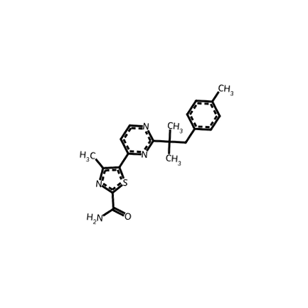 Cc1ccc(CC(C)(C)c2nccc(-c3sc(C(N)=O)nc3C)n2)cc1